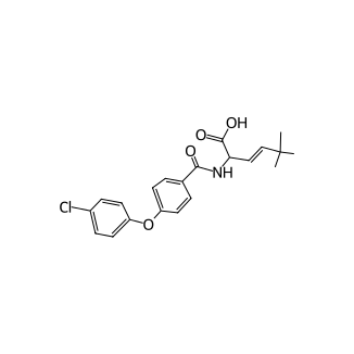 CC(C)(C)C=CC(NC(=O)c1ccc(Oc2ccc(Cl)cc2)cc1)C(=O)O